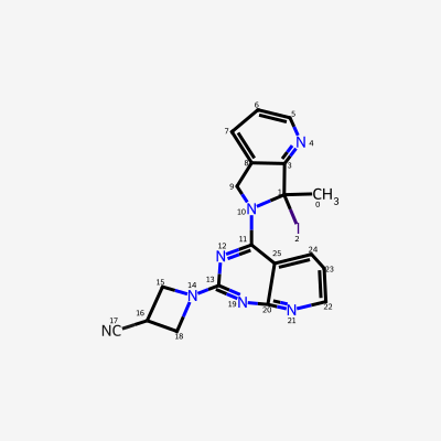 CC1(I)c2ncccc2CN1c1nc(N2CC(C#N)C2)nc2ncccc12